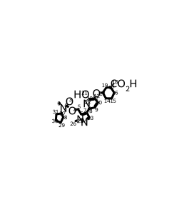 CN(C(=O)OCc1c(-c2ccc(OC3CCC[C@H](C(=O)O)C3)c(O)n2)cnn1C)C1CCCC1